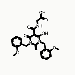 C=C1N(Cc2ccccc2OC)C(=O)C(C(=O)NCC(=O)O)=C(O)N1Cc1ccccc1OC